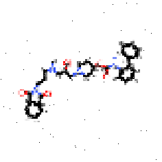 CN(CCCN1C(=O)c2ccccc2C1=O)CC(O)CN1CCC(OC(=O)Nc2ccccc2-c2ccccc2)CC1